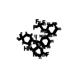 CC1(C)C=CC2=C(C1)Nc1ncc(F)cc1[C@]2(C)c1cccc(-c2ccncc2CC(F)(F)F)c1